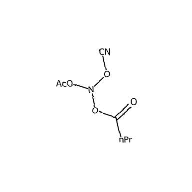 CCCC(=O)ON(OC#N)OC(C)=O